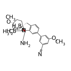 BC1(B)OC(N)=N[C@]12c1cc(-c3cc(C#N)cc(OC)c3)ccc1C[C@]21CC[C@@H](OC)[C@H](C)C1